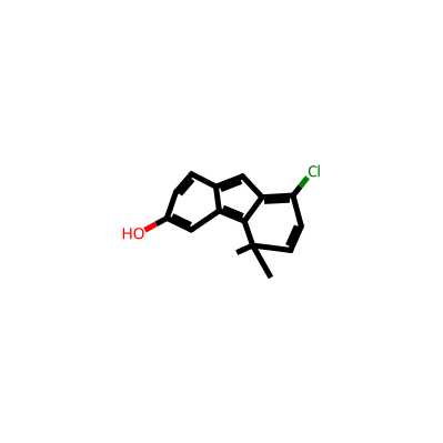 CC1(C)C=CC(Cl)=C2C=c3ccc(O)cc3=C21